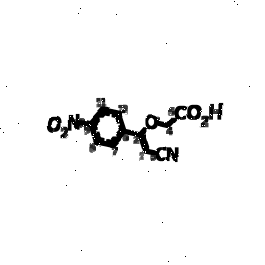 N#CC=C(OCC(=O)O)c1ccc([N+](=O)[O-])cc1